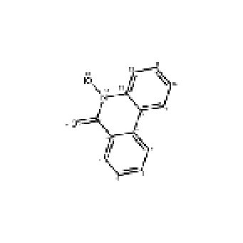 O=c1c2ccccc2c2ccccc2n1O